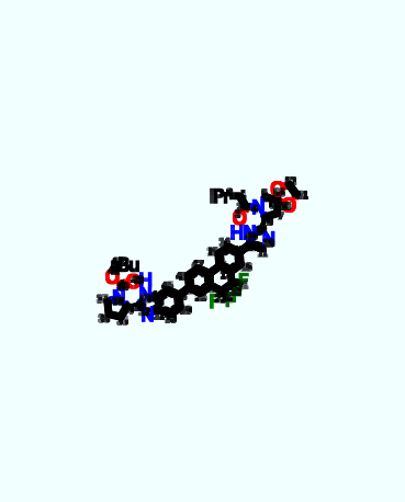 CC(C)CC(=O)N1CC2(C[C@H]1c1ncc(-c3ccc4c(c3)C(F)(F)C(F)(F)c3cc(-c5ccc6nc([C@@H]7CCCN7C(=O)OC(C)(C)C)[nH]c6c5)ccc3-4)[nH]1)OCCO2